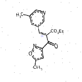 CCOC(=O)/C(=C\c1cncc(C)c1)C(=O)c1cc(C)on1